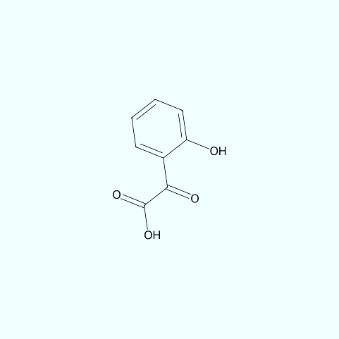 O=C(O)C(=O)c1ccccc1O